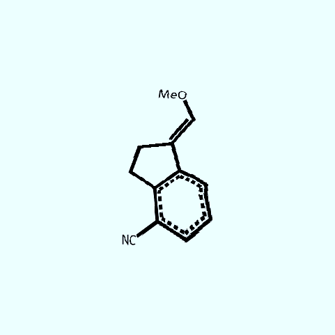 CO/C=C1\CCc2c(C#N)cccc21